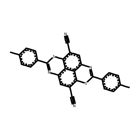 Cc1ccc(C2=Nc3cc(C#N)c4c5c(cc(C#N)c(c35)S2)N=C(c2ccc(C)cc2)S4)cc1